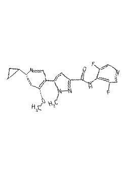 COc1cc(C2CC2)ncc1-c1cc(C(=O)Nc2c(F)cncc2F)nn1C